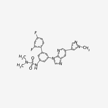 CN(C)S(=O)(=O)Nc1cc(-c2ccc(F)cc2F)cc(-n2cnc3cc(-c4cnn(C)c4)cnc32)c1